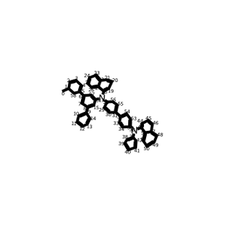 CC1C=CC=C(c2cc(-c3ccccc3)cc(N(c3cccc4ccccc34)C3C=CC(c4ccc(N(c5ccccc5)c5cccc6ccccc56)cc4)=CC3)c2)C1